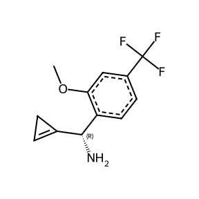 COc1cc(C(F)(F)F)ccc1[C@H](N)C1=CC1